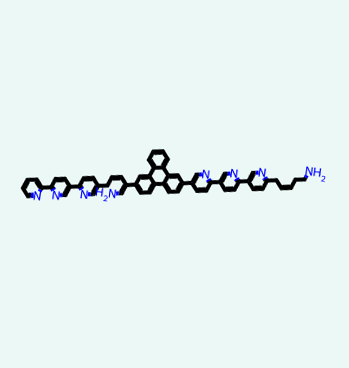 N/C=C(\C=C/Cc1ccc(-c2ccc(-c3ccccn3)nc2)nc1)c1ccc2c3ccc(-c4ccc(-c5ccc(-c6ccc(C/C=C\CCN)nc6)nc5)nc4)cc3c3ccccc3c2c1